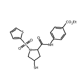 CCOC(=O)c1ccc(NC(=O)C2CC(S)CN2S(=O)(=O)c2cccs2)cc1